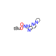 CC(C)(C)OC(=O)NCc1cc2nc(N3CCCCC3)ccc2cn1